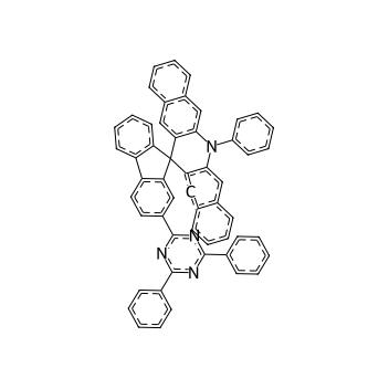 c1ccc(-c2nc(-c3ccccc3)nc(-c3ccc4c(c3)C3(c5ccccc5-4)c4cc5ccccc5cc4N(c4ccccc4)c4cc5ccccc5cc43)n2)cc1